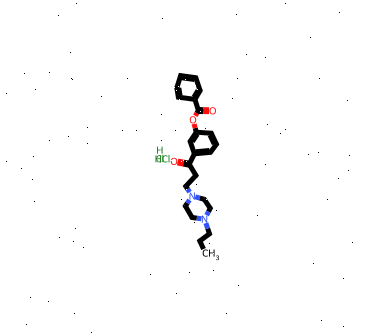 CCCN1CCN(CCC(=O)c2cccc(OC(=O)c3ccccc3)c2)CC1.Cl.Cl